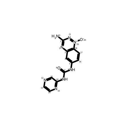 Nc1nc2cc(NC(=O)Nc3cnccn3)ccc2[n+]([O-])n1